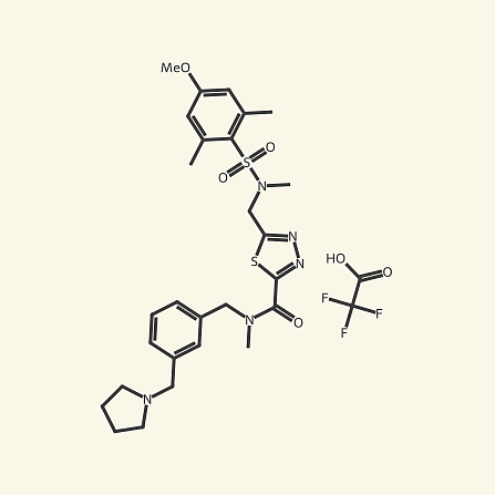 COc1cc(C)c(S(=O)(=O)N(C)Cc2nnc(C(=O)N(C)Cc3cccc(CN4CCCC4)c3)s2)c(C)c1.O=C(O)C(F)(F)F